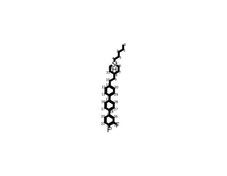 CCCCC[SiH]1CCC(CCc2ccc(-c3ccc(-c4ccc(F)c(F)c4)cc3)cc2)CC1